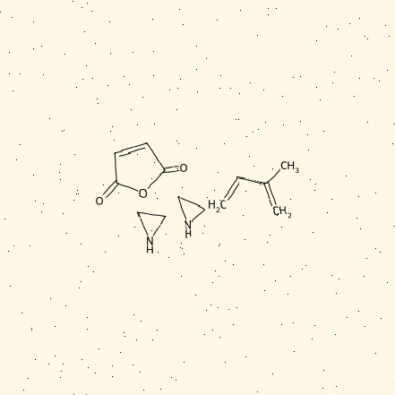 C1CN1.C1CN1.C=CC(=C)C.O=C1C=CC(=O)O1